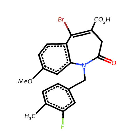 COc1ccc2c(c1)N(Cc1ccc(C)c(F)c1)C(=O)CC(C(=O)O)=C2Br